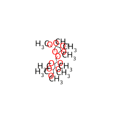 COC[C@@H](OC)[C@@H](OC)[C@H](OC)[C@@H](COC1O[C@H](COC)[C@@H](OC)[C@H](OC)[C@H]1OC)OC